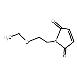 [CH2]COCCN1C(=O)C=CC1=O